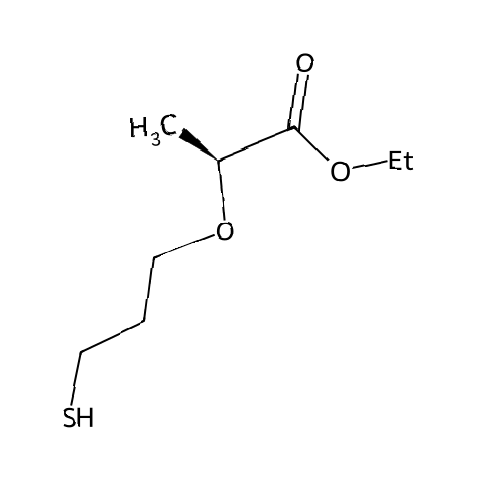 CCOC(=O)[C@H](C)OCCCS